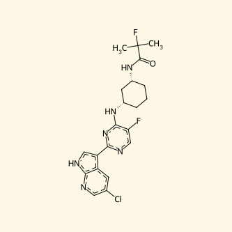 CC(C)(F)C(=O)N[C@@H]1CCC[C@H](Nc2nc(-c3c[nH]c4ncc(Cl)cc34)ncc2F)C1